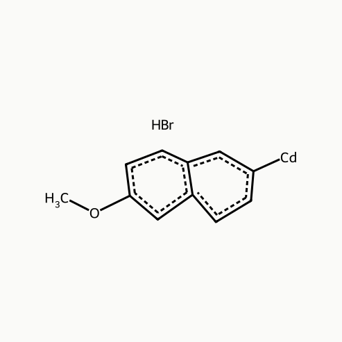 Br.COc1ccc2c[c]([Cd])ccc2c1